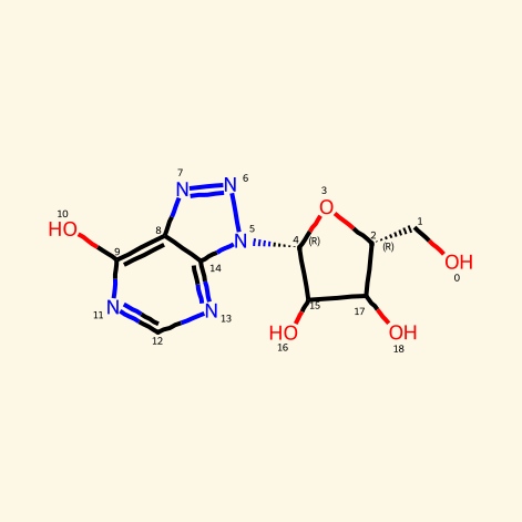 OC[C@H]1O[C@@H](n2nnc3c(O)ncnc32)C(O)C1O